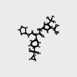 O=C(Nc1nc(C(F)(F)F)c(C(=O)O)s1)/C(=N/OC1CCCC1)c1ccc(S(=O)(=O)C2CC2)cc1